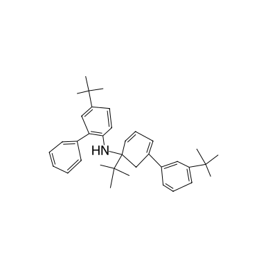 CC(C)(C)c1cccc(C2=CC=CC(Nc3ccc(C(C)(C)C)cc3-c3ccccc3)(C(C)(C)C)C2)c1